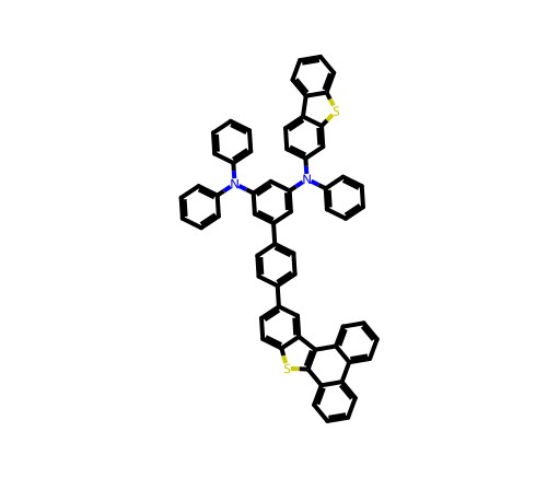 c1ccc(N(c2ccccc2)c2cc(-c3ccc(-c4ccc5sc6c7ccccc7c7ccccc7c6c5c4)cc3)cc(N(c3ccccc3)c3ccc4c(c3)sc3ccccc34)c2)cc1